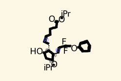 CC(C)OC(=O)CCC/C=C\C[C@H]1C(O)C[C@@H](OC(C)C)[C@@H]1/C=C/C(F)(F)COc1ccccc1